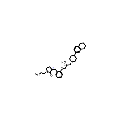 COCCN1CC/C(=C/c2ccccc2OC[C@@H](O)CN2CCC(c3ccc4c(c3)CCCC4)CC2)C1=O